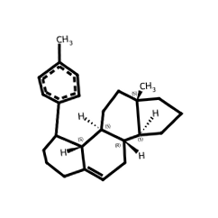 Cc1ccc(C2CCCC3=CC[C@@H]4[C@H](CC[C@]5(C)CCC[C@@H]45)[C@H]32)cc1